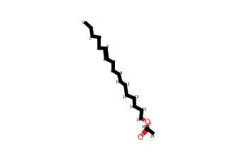 CCCCCC=CCCCCCCCCCCOC(C)=O